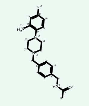 CC(=O)NCc1ccc(CN2CCN(c3ccc(F)cc3N)CC2)cc1